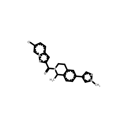 CC1c2ccc(-c3cnn(C)c3)cc2CCN1C(=O)c1cc2ccc(Cl)cn2n1